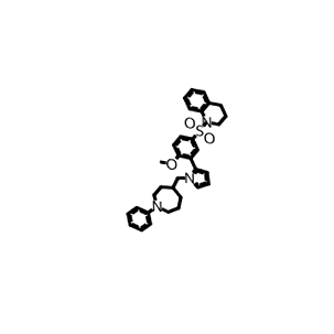 COc1ccc(S(=O)(=O)N2CCCc3ccccc32)cc1-c1cccn1CC1CCCN(c2ccccc2)CC1